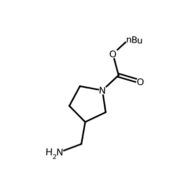 CCCCOC(=O)N1CCC(CN)C1